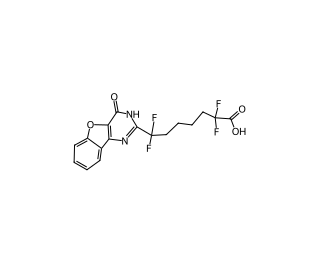 O=C(O)C(F)(F)CCCCC(F)(F)c1nc2c(oc3ccccc32)c(=O)[nH]1